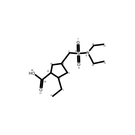 CCC1CC(CS(=O)(=O)N(CC)CC)CC1C(=O)O